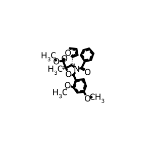 COC(=O)[C@]1(C)OC(c2ccc(OC)cc2OC)N(C(=O)c2ccccc2)[C@H]1c1ccco1